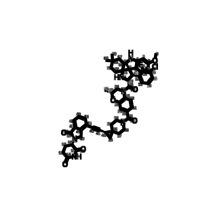 COc1cc2c(cn1)[C@]1(CN2)[C@@H](c2cccc(Cl)c2F)[C@H](C(=O)N2C[C@@H](C)Oc3cc(C(=O)N4CCC5(CC4)C[C@H]5C#Cc4cccc5c4CN([C@H]4CCC(=O)NC4=O)C5=O)ccc32)NC12CCC(C)(C)CC2